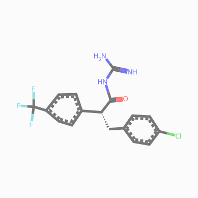 N=C(N)NC(=O)[C@H](Cc1ccc(Cl)cc1)c1ccc(C(F)(F)F)cc1